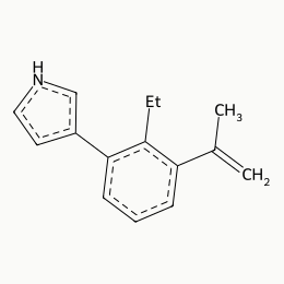 C=C(C)c1cccc(-c2cc[nH]c2)c1CC